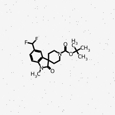 CN1C(=O)C2(CCN(C(=O)OC(C)(C)C)CC2)c2cc(C(F)F)ccc21